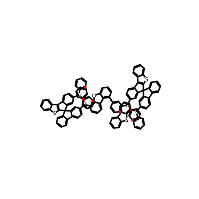 c1ccc(N(c2ccccc2)c2ccc3c(c2)C2(c4ccccc4-c4ccc(N(c5ccccc5)c5cccc6c5oc5cccc(-c7cccc(N(c8ccccc8)c8ccc9c(c8)C8(c%10ccccc%10-c%10ccc(N(c%11ccccc%11)c%11cccc%12c%11sc%11ccccc%11%12)cc%108)c8sc%10ccccc%10c8-9)c7)c56)cc42)c2sc4ccccc4c2-3)cc1